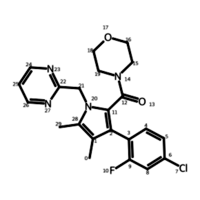 Cc1c(-c2ccc(Cl)cc2F)c(C(=O)N2CCOCC2)n(Cc2ncccn2)c1C